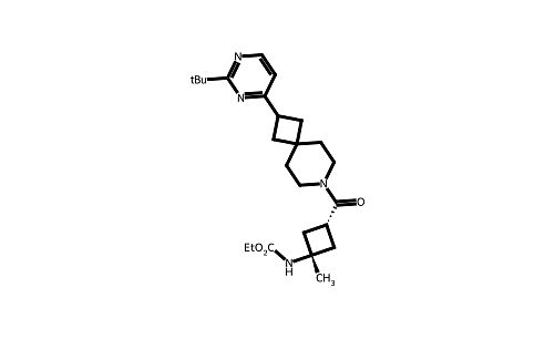 CCOC(=O)N[C@]1(C)C[C@H](C(=O)N2CCC3(CC2)CC(c2ccnc(C(C)(C)C)n2)C3)C1